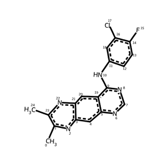 Cc1nc2cc3ncnc(Nc4ccc(F)c(Cl)c4)c3cc2nc1C